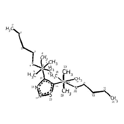 CCCCSS(C)(C)(C)(C)c1nnsc1S(C)(C)(C)(C)SCCCC